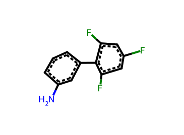 Nc1cccc(-c2c(F)cc(F)cc2F)c1